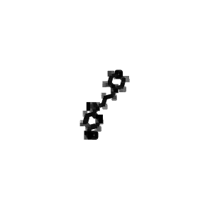 O=Nc1ccc(NCCCN2CCOCC2)nc1